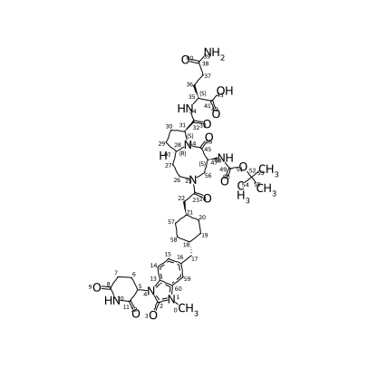 Cn1c(=O)n(C2CCC(=O)NC2=O)c2ccc(C[C@H]3CC[C@H](CC(=O)N4CC[C@H]5CC[C@@H](C(=O)N[C@@H](CCC(N)=O)C(=O)O)N5C(=O)[C@@H](NC(=O)OC(C)(C)C)C4)CC3)cc21